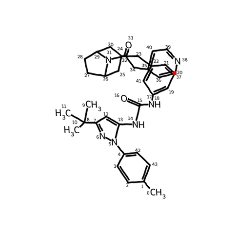 Cc1ccc(-n2nc(C(C)(C)C)cc2NC(=O)Nc2cccc(CC3CC4CCC(C3)N4C(=O)Cc3ccncc3)c2)cc1